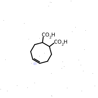 O=C(O)C1CC/C=C\CCC1C(=O)O